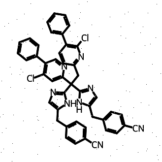 N#Cc1ccc(Cc2cnc(C(Cc3ccc(-c4ccccc4)c(Cl)n3)(c3cc(Cl)c(-c4ccccc4)cn3)c3ncc(Cc4ccc(C#N)cc4)[nH]3)[nH]2)cc1